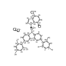 Cc1cc(C)c(-c2ccc3c(c2)-c2cc(-c4c(C)cc(C)cc4C)ccc2[CH]3[Ti+2][CH]2C=Cc3c(Cl)ccc(Cl)c32)c(C)c1.[Cl-].[Cl-]